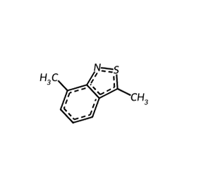 Cc1snc2c(C)cccc12